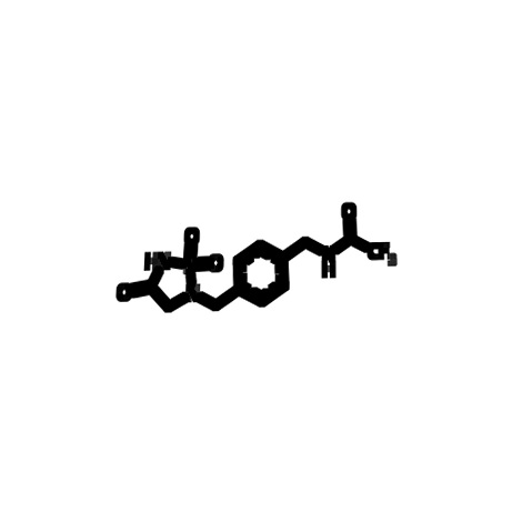 O=C1CN(Cc2ccc(CNC(=O)C(F)(F)F)cc2)S(=O)(=O)N1